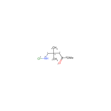 COC(=O)CC(C)(C)CNCl